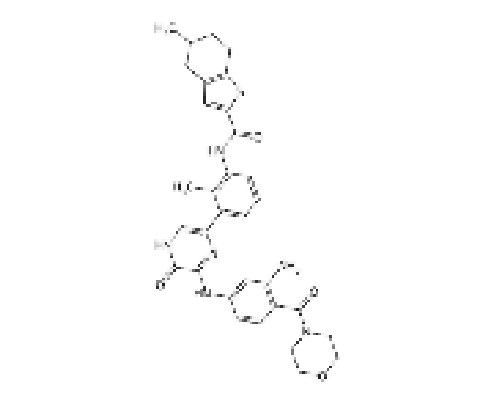 Cc1c(NC(=O)c2cc3c(s2)CCC(C)C3)cccc1-c1c[nH]c(=O)c(Nc2ccc(C(=O)N3CCOCC3)c(N)c2)n1